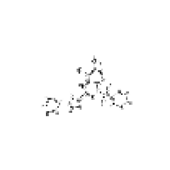 Cc1ccc2c(S(=O)(=O)c3ccccc3)cc(-c3cnc(-c4ccccc4)s3)nc2c1Br